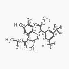 CCC1CN(C(C(=O)OC)c2cc(C(F)(F)F)cc(C(F)(F)F)c2)c2cc(C)c(C)cc2N1C(=O)OC(C)C